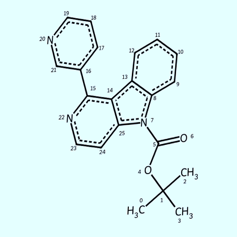 CC(C)(C)OC(=O)n1c2ccccc2c2c(-c3cccnc3)nccc21